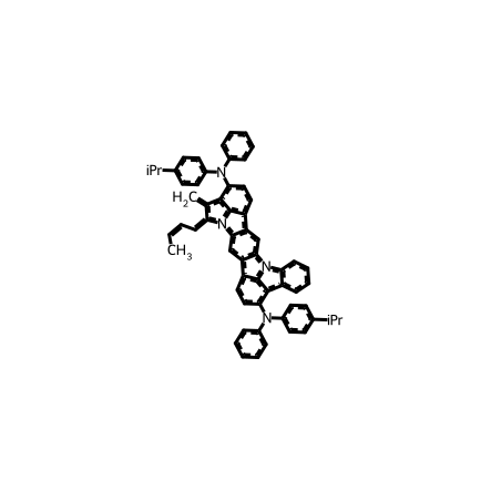 C=c1/c(=C\C=C/C)n2c3cc4c5ccc(N(c6ccccc6)c6ccc(C(C)C)cc6)c6c7ccccc7n(c4cc3c3ccc(N(c4ccccc4)c4ccc(C(C)C)cc4)c1c32)c56